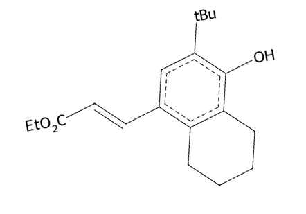 CCOC(=O)/C=C/c1cc(C(C)(C)C)c(O)c2c1CCCC2